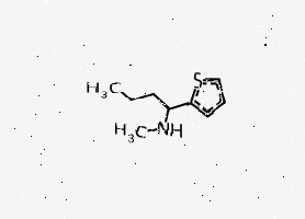 CCCC(NC)c1cccs1